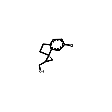 OCC1C[C@]12CCc1ccc(Cl)cc12